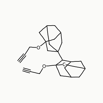 C#CCOC12CC3CC(C1)CC(C1C4CC5CC(C4)CC1(OCC#C)C5)(C3)C2